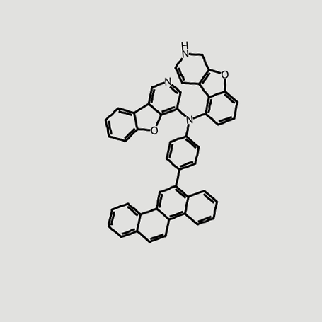 C1=Cc2c(oc3cccc(N(c4ccc(-c5cc6c7ccccc7ccc6c6ccccc56)cc4)c4cncc5c4oc4ccccc45)c23)CN1